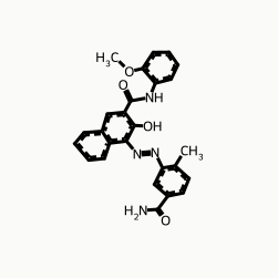 COc1ccccc1NC(=O)c1cc2ccccc2c(N=Nc2cc(C(N)=O)ccc2C)c1O